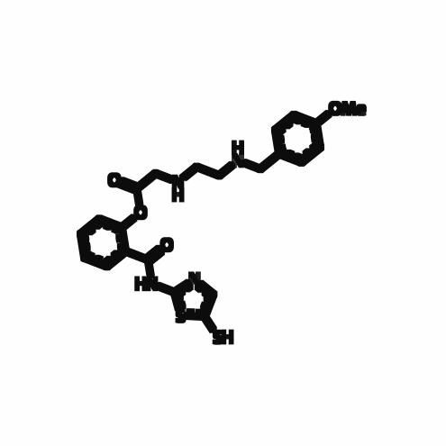 COc1ccc(CNCCNCC(=O)Oc2ccccc2C(=O)Nc2ncc(S)s2)cc1